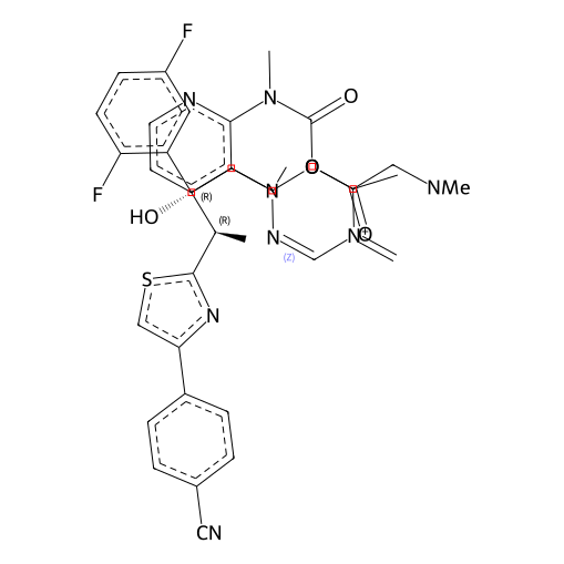 C=[N+](/C=N\N(C)C[C@](O)(c1cc(F)ccc1F)[C@@H](C)c1nc(-c2ccc(C#N)cc2)cs1)C(C)OC(=O)N(C)c1ncccc1COC(=O)CNC